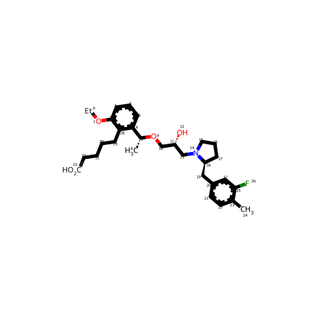 CCOc1cccc([C@@H](C)OC[C@H](O)CN2CCC[C@H]2Cc2ccc(C)c(F)c2)c1CCCCC(=O)O